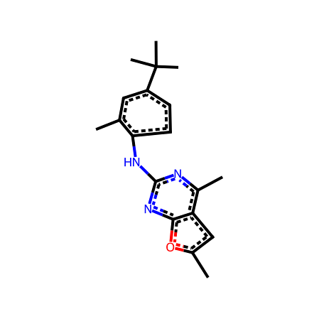 Cc1cc2c(C)nc(Nc3ccc(C(C)(C)C)cc3C)nc2o1